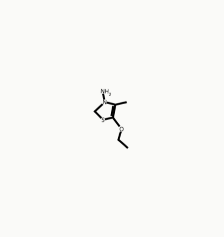 CCOC1=C(C)N(N)CS1